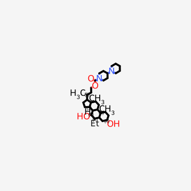 CC[C@@H]1C2C[C@H](O)CC[C@@]2(C)C2CCC3(C)C([C@H](C)CCOC(=O)N4CCC(N5CCCCC5)CC4)CC[C@H]3C2[C@@H]1O